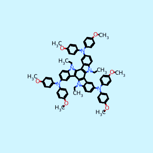 CCn1c2ccc(N(c3ccc(OC)cc3)c3ccc(OC)cc3)cc2c2c1c1c3cc(N(c4ccc(OC)cc4)c4ccc(OC)cc4)ccc3n(CC)c1c1c3cc(N(c4ccc(OC)cc4)c4ccc(OC)cc4)ccc3n(CC)c21